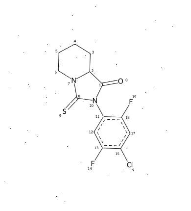 O=C1C2CCCCN2C(=S)N1c1cc(F)c(Cl)cc1F